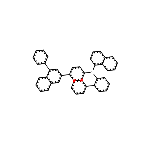 c1ccc(-c2ccccc2N(c2ccc(-c3cc(-c4ccccc4)c4ccccc4c3)cc2)c2cccc3ccccc23)cc1